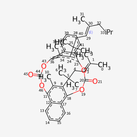 CC(C)=CCC(C)(C)c1c(C)c2c3ccccc3c1OC(=O)Oc1c(C(C)(C)C/C=C(\C)CC(C)C)c(C)c(c3ccccc13)OC(=O)O2